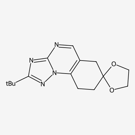 CC(C)(C)c1nc2ncc3c(n2n1)CCC1(C3)OCCO1